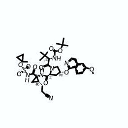 COc1ccc2c(O[C@@H]3C[C@@H](C(=O)N[C@]4(C(=O)NS(=O)(=O)OC5(C)CC5)C[C@H]4CCC#N)N(C(=O)[C@@H](NC(=O)OC(C)(C)C)C(C)(C)C)C3)nccc2c1